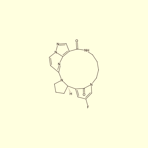 O=C1NCCCCn2cc(F)cc(c2=O)[C@H]2CCCN2c2ccn3ncc1c3n2